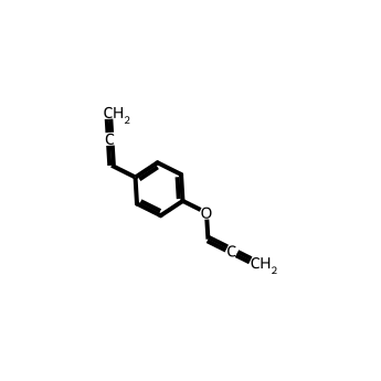 C=C=COc1ccc(C=C=C)cc1